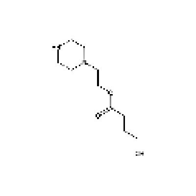 O=C(CCCO)OCCN1CCNCC1